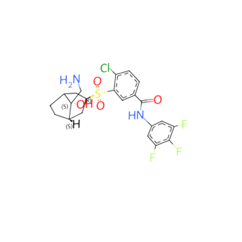 NC[C@]1(O)C2CC[C@H]1C[C@H](S(=O)(=O)c1cc(C(=O)Nc3cc(F)c(F)c(F)c3)ccc1Cl)C2